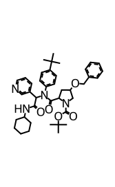 CC(C)(C)OC(=O)N1CC(OCc2ccccc2)CC1C(=O)N(c1ccc(C(C)(C)C)cc1)C(C(=O)NC1CCCCC1)c1cccnc1